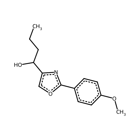 CCCC(O)c1coc(-c2ccc(OC)cc2)n1